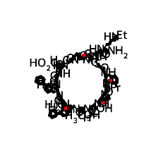 CCNCCCC[C@H](NC(=O)CNC(=O)[C@@H]1CSCC(=O)N[C@@H](Cc2ccccc2)C(=O)N[C@@H](C(C)C)C(=O)N2CCC[C@H]2C(=O)N[C@@H]([C@@H](C)O)C(=O)N[C@@H]([C@@H](C)O)C(=O)N[C@@H](Cc2ccc(-c3ccccc3)cc2)C(=O)N(C)[C@@H](C)C(=O)N[C@@H](Cc2ccc(-c3ccccc3)cc2)C(=O)N(C)[C@@H](C)C(=O)N[C@@H](CCC(=O)O)C(=O)N[C@@H](C)C(=O)N2CCC[C@H]2C(=O)N1)C(N)=O